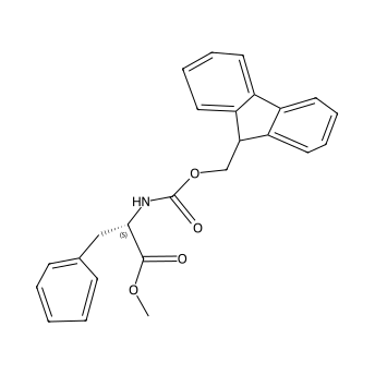 COC(=O)[C@H](Cc1ccccc1)NC(=O)OCC1c2ccccc2-c2ccccc21